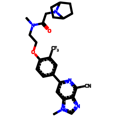 CN(CCOc1ccc(-c2cc3c(ncn3C)c(C#N)n2)cc1C(F)(F)F)C(=O)CN1C2CCC1CC2